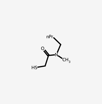 CCCCN(C)C(=O)CS